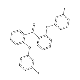 O=C(c1ccccc1Oc1cccc(I)c1)c1ccccc1Oc1cccc(I)c1